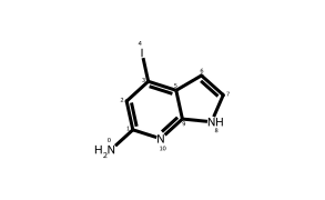 Nc1cc(I)c2cc[nH]c2n1